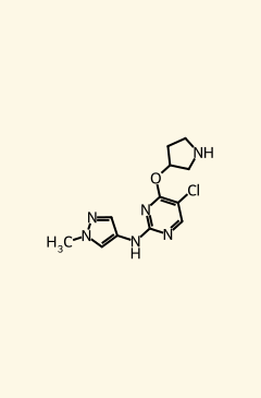 Cn1cc(Nc2ncc(Cl)c(OC3CCNC3)n2)cn1